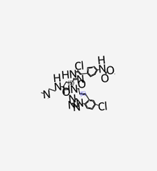 COC(=O)Nc1ccc(-c2nc([C@H](CC(=O)NCCN(C)C)NC(=O)/C=C/c3cc(Cl)ccc3-n3cnnn3)[nH]c2Cl)cc1